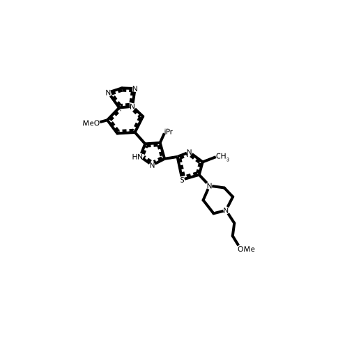 COCCN1CCN(c2sc(-c3n[nH]c(-c4cc(OC)c5ncnn5c4)c3C(C)C)nc2C)CC1